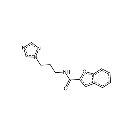 O=C(NCCCn1cncn1)c1cc2ccccc2o1